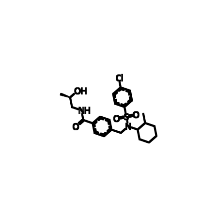 CC1CCCCC1N(Cc1ccc(C(=O)NC[C@@H](C)O)cc1)S(=O)(=O)c1ccc(Cl)cc1